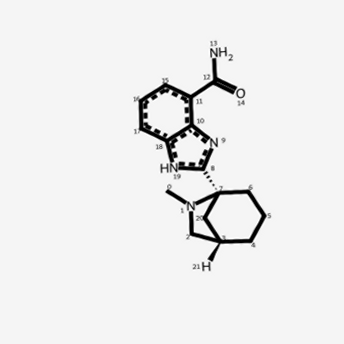 CN1C[C@H]2CCC[C@@]1(c1nc3c(C(N)=O)cccc3[nH]1)C2